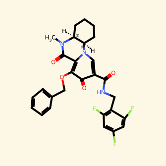 CN1C(=O)c2c(OCc3ccccc3)c(=O)c(C(=O)NCc3c(F)cc(F)cc3F)cn2[C@@H]2CCCC[C@@H]21